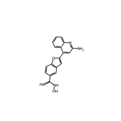 N=C(NO)c1ccc2oc(-c3cc(N)nc4ccccc34)cc2c1